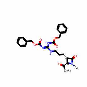 COC(=O)[C@H]1[C@H](CCCNC(=NC(=O)OCc2ccccc2)NC(=O)OCc2ccccc2)C(=O)N1C(C)=O